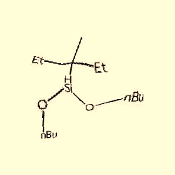 CCCCO[SiH](OCCCC)C(C)(CC)CC